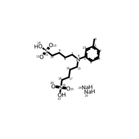 Cc1cccc(N(CCCCS(=O)(=O)O)CCCCS(=O)(=O)O)c1.[NaH].[NaH]